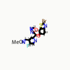 CO/N=C/c1cc(C(Oc2ccc3nc(Br)sc3c2)c2nnco2)ncc1F